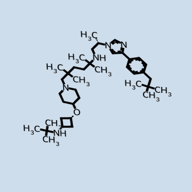 C[C@@H](CNC(C)(C)CCC(C)(C)CN1CCC(O[C@H]2C[C@@H](NC(C)(C)C)C2)CC1)n1cnc(-c2ccc(CC(C)(C)C)cc2)c1